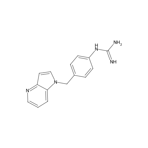 N=C(N)Nc1ccc(Cn2ccc3ncccc32)cc1